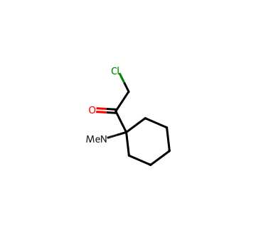 CNC1(C(=O)CCl)CCCCC1